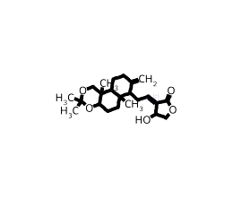 C=C1CCC2C3(C)COC(C)(C)OC3CCC2(C)C1C/C=C1/C(=O)OCC1O